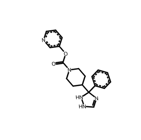 O=C(Oc1cccnc1)N1CCC(C2(c3ccccc3)N=CNN2)CC1